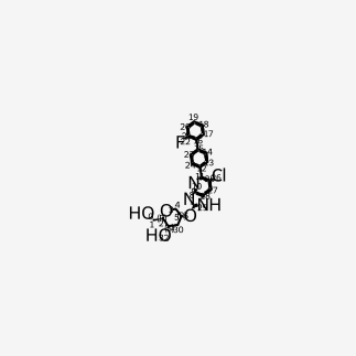 OC[C@H]1OC[C@H](Oc2nc3nc(-c4ccc(-c5ccccc5F)cc4)c(Cl)cc3[nH]2)C[C@@H]1O